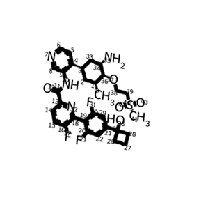 C[C@H]1C[C@@H](c2ccncc2NC(=O)c2ccc(F)c(-c3c(F)cc(C4(O)CCC4)cc3F)n2)C[C@@H](N)[C@H]1OCCS(C)(=O)=O